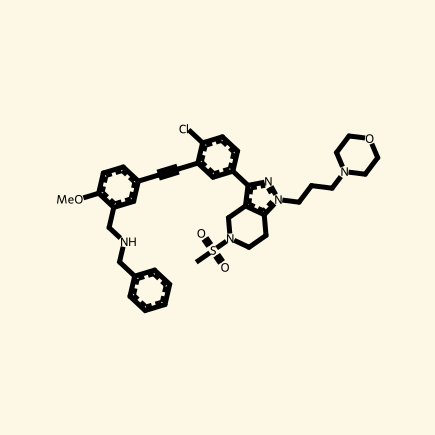 COc1ccc(C#Cc2cc(-c3nn(CCCN4CCOCC4)c4c3CN(S(C)(=O)=O)CC4)ccc2Cl)cc1CNCc1ccccc1